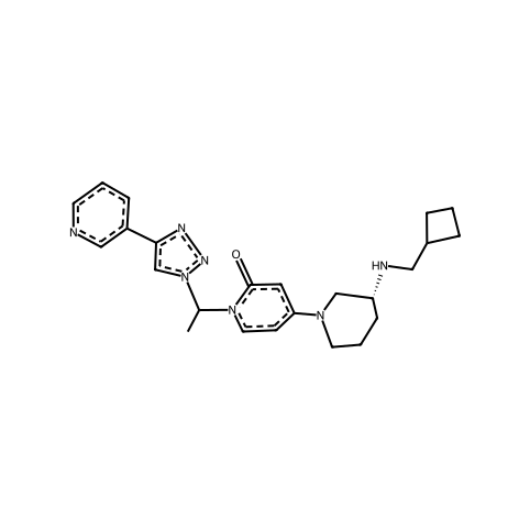 CC(n1cc(-c2cccnc2)nn1)n1ccc(N2CCC[C@@H](NCC3CCC3)C2)cc1=O